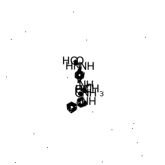 C[C@H](NC(=O)[C@H]1C[C@@H](c2ccccc2)CCN1)C(=O)NCc1ccc(C(=N)NC(=O)O)cc1.Cl